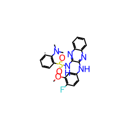 COc1cc(Nc2nc3ccccc3nc2NS(=O)(=O)c2ccc[c]c2N(C)C)ccc1F